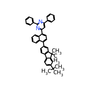 CC(C)(C)c1ccc2c(c1)C(C)(C)c1cc(-c3ccc(-c4cc(-c5ccccc5)nc(-c5ccccc5)n4)c4ccccc34)ccc1-2